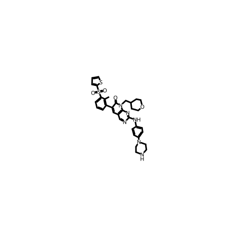 Cc1c(-c2cc3cnc(Nc4ccc(N5CCNCC5)cc4)nc3n(CC3CCOCC3)c2=O)cccc1S(=O)(=O)c1cccs1